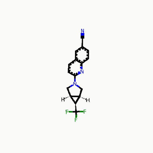 N#Cc1ccc2nc(N3C[C@@H]4[C@H](C3)[C@@H]4C(F)(F)F)ccc2c1